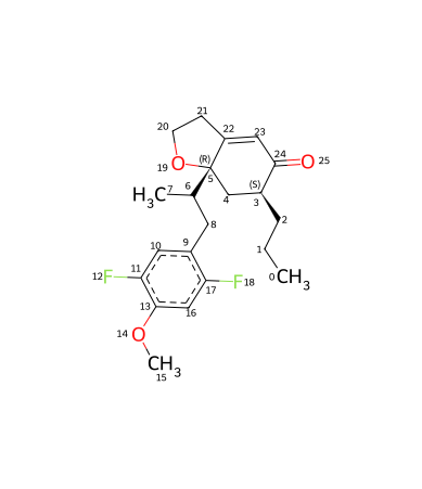 CCC[C@H]1C[C@]2(C(C)Cc3cc(F)c(OC)cc3F)OCCC2=CC1=O